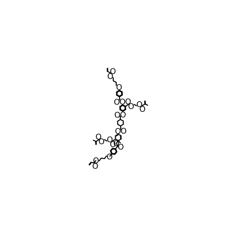 C=CC(=O)OCCCCOc1ccc(C(=O)Oc2ccc(OC(=O)C3CCC(C(=O)OC4=CC(C(=O)OCCOC(=O)C(=C)C)C(C)(OC(=O)c5ccc(OCCCCOC(=O)C=C)cc5)C=C4)CC3)cc2C(=O)OCCOC(=O)C(=C)C)cc1